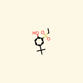 CCS(=O)(=O)c1cc(C(C)(C)C)ccc1O